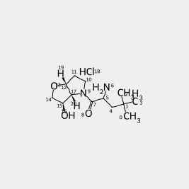 CC(C)(C)CC(N)C(=O)N1CC[C@H]2OC[C@H](O)[C@H]21.Cl